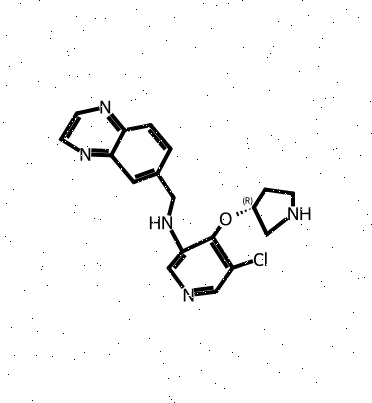 Clc1cncc(NCc2ccc3nccnc3c2)c1O[C@@H]1CCNC1